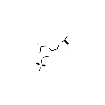 C[C@H](O[C@@H](CNS(C)(=O)=O)COC(=O)C(C)(C)C)C(C)(C)C